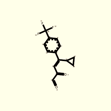 O=CC(=O)/C=C(/c1ccc(C(F)(F)F)cc1)C1CC1